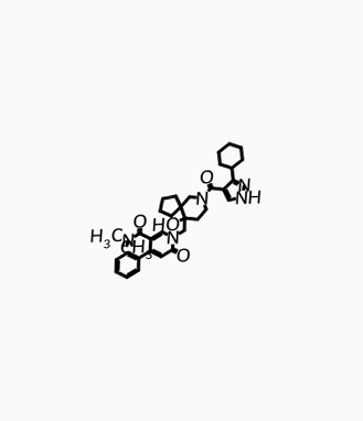 CN(C)C(=O)c1cn(CC2(O)CCN(C(=O)c3c[nH]nc3C3CCCCC3)CC23CCCC3)c(=O)cc1-c1ccccc1